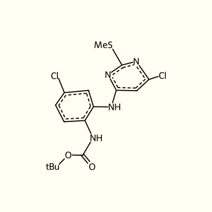 CSc1nc(Cl)cc(Nc2cc(Cl)ccc2NC(=O)OC(C)(C)C)n1